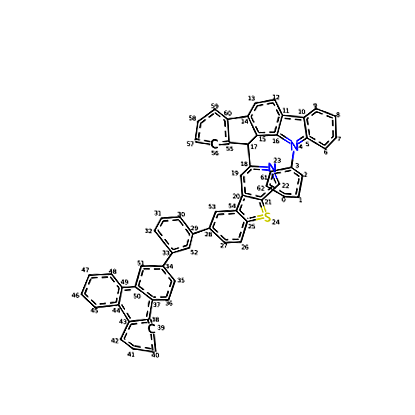 c1ccc(-n2c3ccccc3c3ccc4c(c32)C(c2cc3c(cn2)sc2ccc(-c5cccc(-c6ccc7c8ccccc8c8ccccc8c7c6)c5)cc23)c2ccccc2-4)cc1